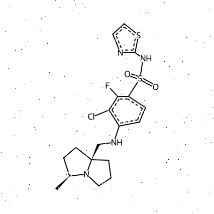 C[C@H]1CC[C@]2(CNc3ccc(S(=O)(=O)Nc4nccs4)c(F)c3Cl)CCCN12